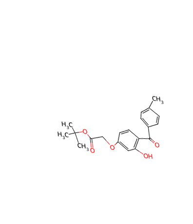 Cc1ccc(C(=O)c2ccc(OCC(=O)OC(C)(C)C)cc2O)cc1